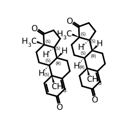 C[C@]12C=CC(=O)C=C1CC[C@@H]1[C@@H]2CC[C@]2(C)C(=O)CC[C@@H]12.C[C@]12CCC(=O)C=C1CC[C@@H]1[C@@H]2CC[C@]2(C)C(=O)CC[C@@H]12